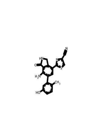 Cc1ccc(O)cc1-c1cc(-c2nc(C#N)cs2)c2c(c1N)C(=O)NC2